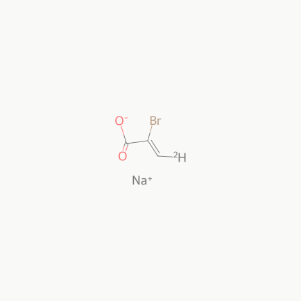 [2H]/C=C(\Br)C(=O)[O-].[Na+]